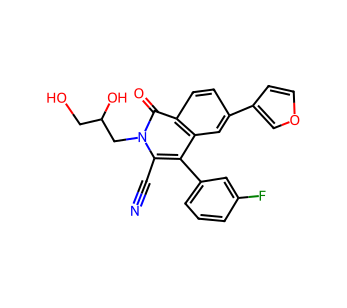 N#Cc1c(-c2cccc(F)c2)c2cc(-c3ccoc3)ccc2c(=O)n1CC(O)CO